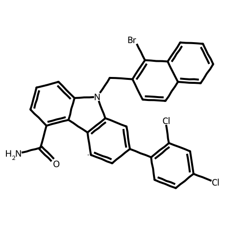 NC(=O)c1cccc2c1c1[c]cc(-c3ccc(Cl)cc3Cl)cc1n2Cc1ccc2ccccc2c1Br